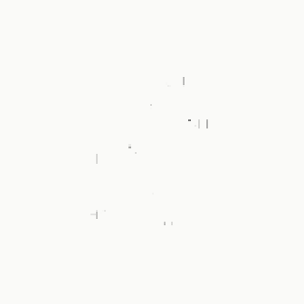 CC(C(=O)C(S)S)C(N)(N)C(=O)O